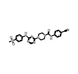 CS(=O)(=O)c1ccc(Nc2ncnc(N3CCN(C(=O)Nc4ccc(C#N)cc4)CC3)n2)cc1